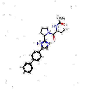 COC(=O)N[C@@H](CC(C)C)C(=O)N1CCCC1c1ncc(-c2ccc(-c3ccccc3)cc2)[nH]1